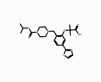 CC(C)OC(=O)N1CCN(Cc2ccc(-c3ncco3)cc2OC(C)(C)C(=O)O)CC1